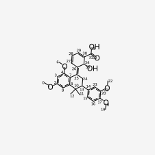 COc1cc(OC)c2c(c1)C(C)(C)C(c1ccc(OC)c(OC)c1)CC2=C1C=CC=C(C(=O)O)C1O